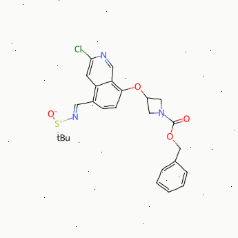 CC(C)(C)[S@+]([O-])/N=C/c1ccc(OC2CN(C(=O)OCc3ccccc3)C2)c2cnc(Cl)cc12